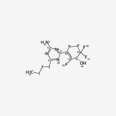 CCCCc1nc(N)nc(C2=C(F)[C@@H](O)C(F)(F)CC2)n1